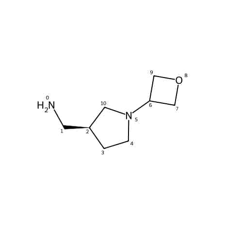 NC[C@@H]1CCN(C2COC2)C1